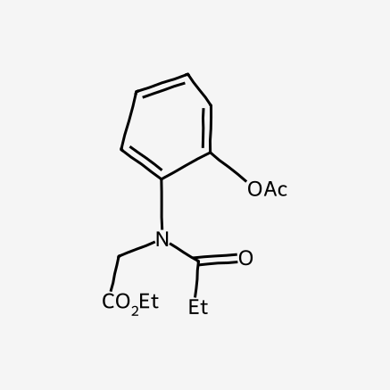 CCOC(=O)CN(C(=O)CC)c1ccccc1OC(C)=O